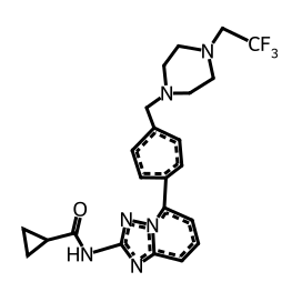 O=C(Nc1nc2cccc(-c3ccc(CN4CCN(CC(F)(F)F)CC4)cc3)n2n1)C1CC1